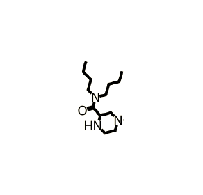 CCCCN(CCCC)C(=O)C1C[N]CCN1